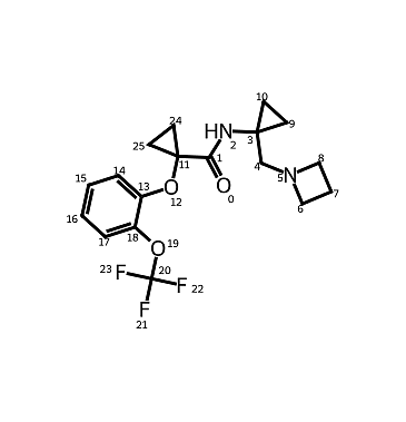 O=C(NC1(CN2CCC2)CC1)C1(Oc2ccccc2OC(F)(F)F)CC1